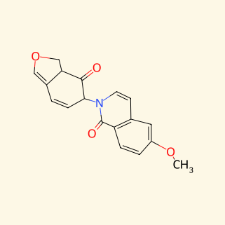 COc1ccc2c(=O)n(C3C=CC4=COCC4C3=O)ccc2c1